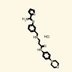 Cl.N/C(=N\c1cccc(CNCCC(=O)Nc2ccc(N3CCOCC3)cc2)c1)c1cccs1